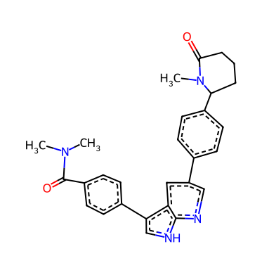 CN(C)C(=O)c1ccc(-c2c[nH]c3ncc(-c4ccc(C5CCCC(=O)N5C)cc4)cc23)cc1